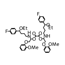 CCOC(CCCNC(COc1ccccc1OC)OC(=O)C(=O)OC(COc1ccccc1OC)NCCCC(OCC)c1ccc(F)cc1)c1ccc(F)cc1